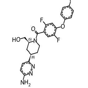 Nc1ccc([C@@H]2CCN(C(=O)c3cc(F)c(Oc4ccc(F)cc4)cc3F)[C@H](CO)C2)nn1